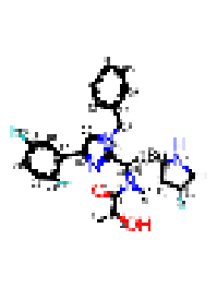 C[C@H](O)C(=O)N(C[C@@H]1CNC[C@@H]1F)[C@@H](c1nc(-c2cc(F)ccc2F)cn1Cc1ccccc1)C(C)(C)C